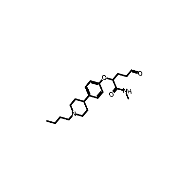 CCCCN1CCC(c2ccc(OC(CCC=O)C(=O)NC)cc2)CC1